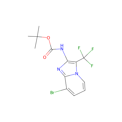 CC(C)(C)OC(=O)Nc1nc2c(Br)cccn2c1C(F)(F)F